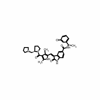 Cc1[nH]c(/C=C2\C(=O)Nc3ccc(C(=O)N[C@H](C)c4cccc(Cl)c4)cc32)c(C)c1C(=O)N1CCC[C@@H]1CN1CCCC1